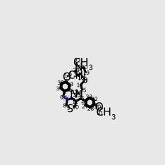 COc1ccc(/C=C2/CSCC3C2=NN(CCCN2CCN(C)CC2)C3c2ccc(OC)cc2)cc1